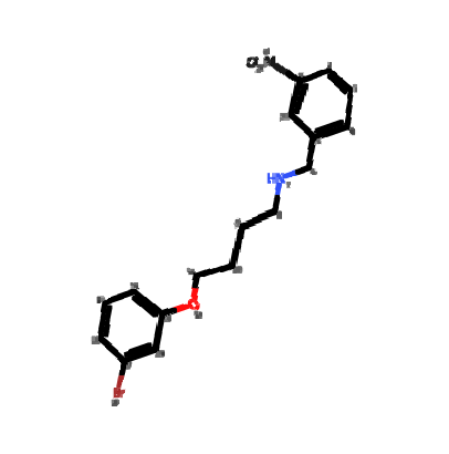 O=[N+]([O-])c1cccc(CNCCCCOc2cccc(Br)c2)c1